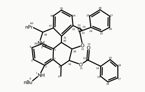 CCCCNc1cccc2c1C(C)C(OC(=O)c1ccccc1)C(OC(=O)c1ccccc1)C2c1c(C)cccc1C(N)CCC